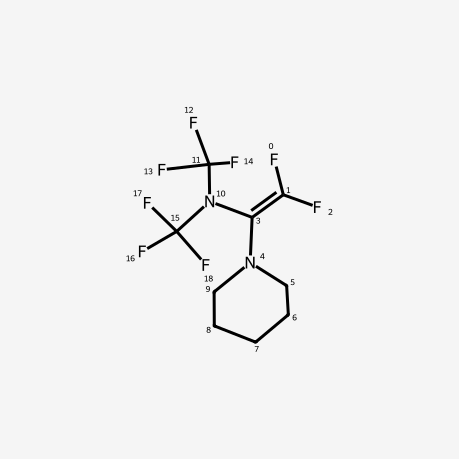 FC(F)=C(N1CCCCC1)N(C(F)(F)F)C(F)(F)F